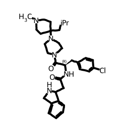 CC(C)CC1(N2CCN(C(=O)[C@@H](Cc3ccc(Cl)cc3)NC(=O)CC3NCc4ccccc43)CC2)CCN(C)CC1